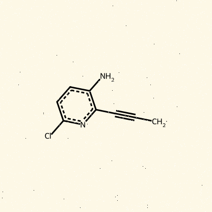 [CH2]C#Cc1nc(Cl)ccc1N